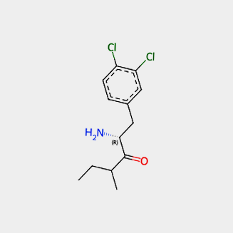 CCC(C)C(=O)[C@H](N)Cc1ccc(Cl)c(Cl)c1